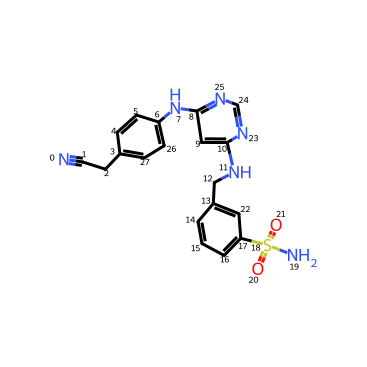 N#CCc1ccc(Nc2cc(NCc3cccc(S(N)(=O)=O)c3)ncn2)cc1